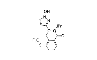 CC(C)OC(=O)c1cccc(SC(F)(F)F)c1COc1ccn(O)n1